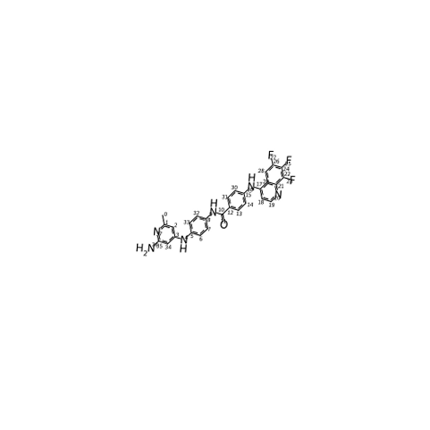 Cc1cc(Nc2ccc(NC(=O)c3ccc(Nc4ccnc5c(F)c(F)c(F)cc45)cc3)cc2)cc(N)n1